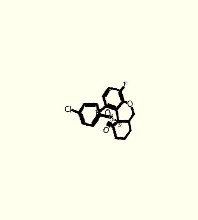 O=S(=O)(c1ccc(Cl)cc1)[C@@]12CCCCC1COc1c(F)ccc(F)c12